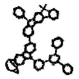 CC1(C)c2ccccc2-c2cc3c4cc(-c5ccc6c(c5)c5cc7c(cc5n6-c5cccc(-c6nc(-c8ccccc8)nc(-c8ccccc8)n6)c5)C5C6C=CC7C=CC65)ccc4n(-c4ccccc4)c3cc21